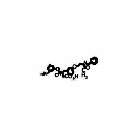 CCCc1cccc(OC(=O)N(CC(=O)O)Cc2cccc(OCCc3nc(-c4ccccc4)oc3C)c2)c1